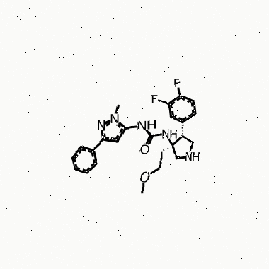 COCC[C@@]1(NC(=O)Nc2cc(-c3ccccc3)nn2C)CNC[C@H]1c1ccc(F)c(F)c1